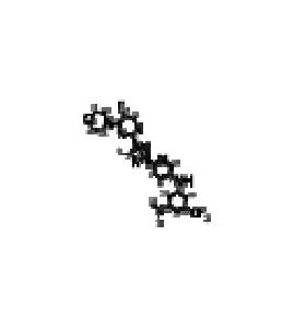 Cc1nn(-c2ccc(Nc3cc(N(C)C)cc(C(F)(F)F)c3)cn2)nc1-c1ncc(F)c(N2CCOCC2)n1